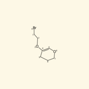 BrCCOC1=COCCC1